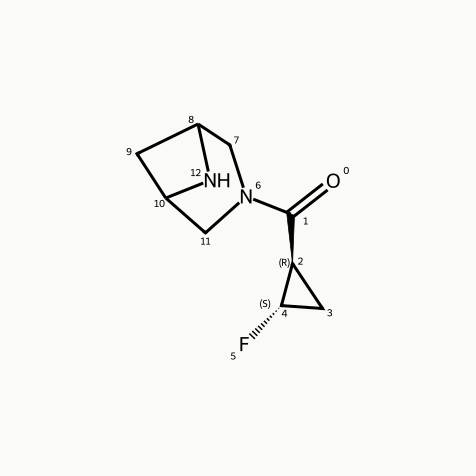 O=C([C@H]1C[C@@H]1F)N1CC2CC(C1)N2